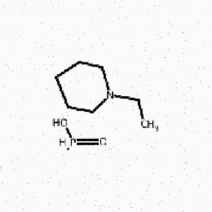 CCN1CCCCC1.O=[PH2]O